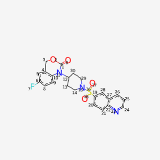 O=C1OCc2cc(F)ccc2N1C1CCN(S(=O)(=O)c2ccc3ncccc3c2)CC1